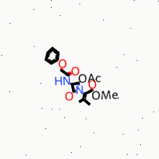 COC(=O)C(=C(C)C)N1C(=O)[C@@H](NC(=O)COc2ccccc2)[C@@H]1OC(C)=O